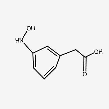 O=C(O)Cc1cccc(NO)c1